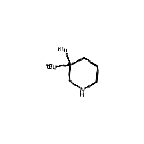 CC(C)(C)C1(C(C)(C)C)CCCNC1